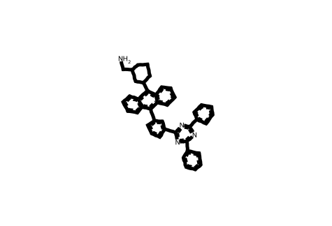 NCC1CCCC(c2c3ccccc3c(-c3cccc(-c4nc(-c5ccccc5)nc(-c5ccccc5)n4)c3)c3ccccc23)C1